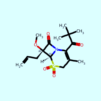 C=CC[C@@]1(OC)C(=O)N2C(C(=O)C(C)(C)C)=C(C)CS(=O)(=O)[C@H]21